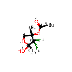 CCC(C)C(=O)OC1(C(C)(C)C)COC(O)(C(F)(F)F)C1(F)F